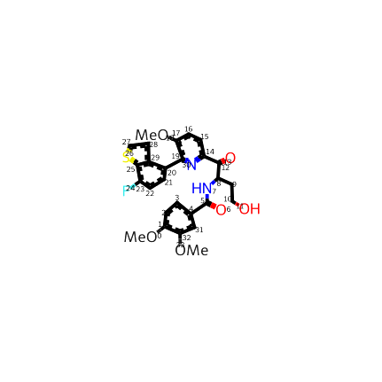 COc1ccc(C(=O)NC(CCO)C(=O)c2ccc(OC)c(-c3ccc(F)c4sccc34)n2)cc1OC